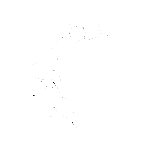 Cc1cc2[nH]c(CCC(C)[C@H]3CC[C@H]4[C@@H]5[C@H](O)C[C@@H]6C[C@H](O)CC[C@]6(C)[C@H]5CC[C@]34C)nc2cc1F